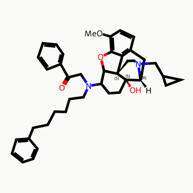 COc1ccc2c3c1OC1C(N(CCCCCCc4ccccc4)CC(=O)c4ccccc4)CC[C@@]4(O)[C@@H](C2)N(CC2CC2)CC[C@]314